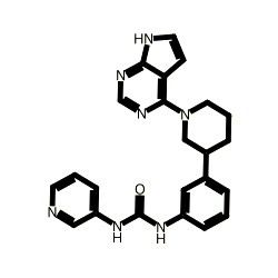 O=C(Nc1cccnc1)Nc1cccc(C2CCCN(c3ncnc4[nH]ccc34)C2)c1